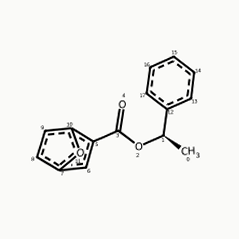 C[C@@H](OC(=O)c1cc2ccc1o2)c1ccccc1